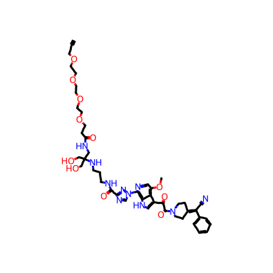 C#CCOCCOCCOCCOCCC(=O)NCC(CO)(CO)NCCCNC(=O)c1ncn(-c2ncc(OC)c3c(C(=O)C(=O)N4CCC(=C(C#N)c5ccccc5)CC4)c[nH]c23)n1